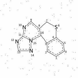 c1ccc2c(c1)SCc1cnc3ncnn3c1-2